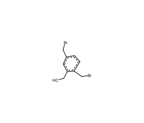 [CH]Cc1cc(CBr)ccc1CBr